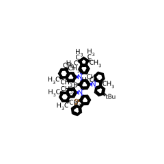 Cc1cc2c(cc1N1c3cc4c(cc3B3c5cc6c(cc5N(c5cccc7c5sc5ccccc57)c5cc(N7c8ccc(C(C)(C)C)cc8C8(C)CCCCC78C)cc1c53)C(C)(C)CCC6(C)C)C(C)(C)CCC4(C)C)C(C)(C)CC2(C)C